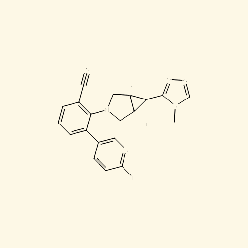 Cn1cnnc1C1[C@H]2CN(c3c(C#N)cccc3-c3ccc(F)nc3)C[C@@H]12